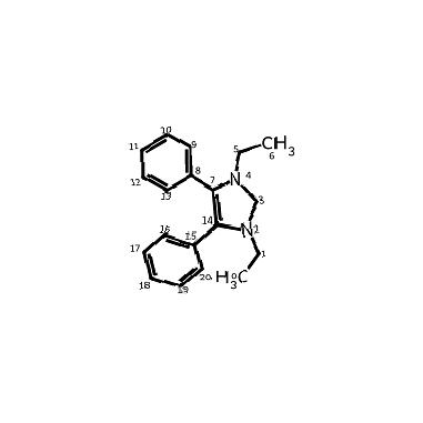 CCN1CN(CC)C(c2ccccc2)=C1c1ccccc1